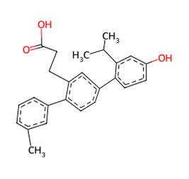 Cc1cccc(-c2ccc(-c3ccc(O)cc3C(C)C)cc2CCC(=O)O)c1